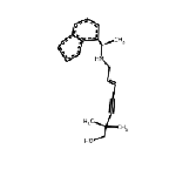 C[C@@H](NC/C=C/C#CC(C)(C)CO)c1cccc2ccccc12